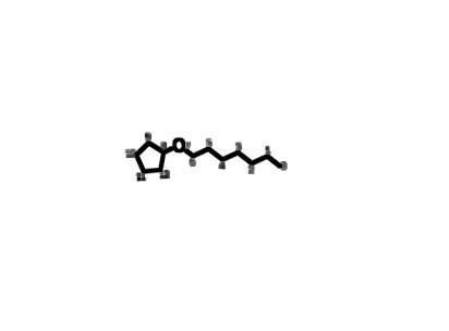 CCCCCCCOC1CCCC1